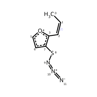 C/C=C\c1occc1SN=[N+]=[N-]